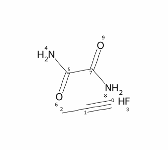 C#CC.F.NC(=O)C(N)=O